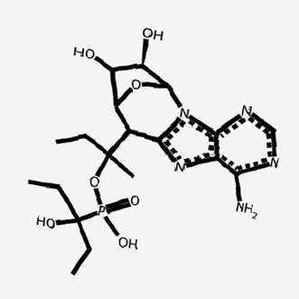 CCC(C)(OP(=O)(O)C(O)(CC)CC)C1c2nc3c(N)ncnc3n2C2OC1C(O)[C@H]2O